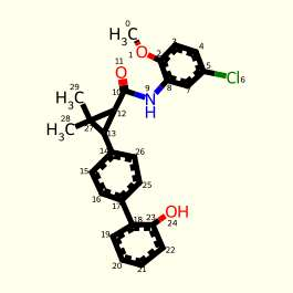 COc1ccc(Cl)cc1NC(=O)C1C(c2ccc(-c3ccccc3O)cc2)C1(C)C